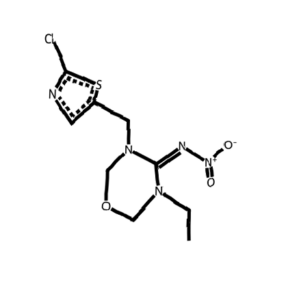 CCN1COCN(Cc2cnc(Cl)s2)C1=N[N+](=O)[O-]